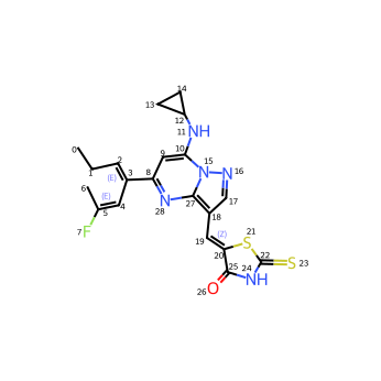 CC/C=C(\C=C(/C)F)c1cc(NC2CC2)n2ncc(/C=C3\SC(=S)NC3=O)c2n1